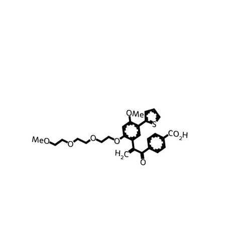 C=C(C(=O)c1ccc(C(=O)O)cc1)c1cc(-c2cccs2)c(OC)cc1OCCOCCOCCOC